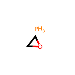 C1CO1.P